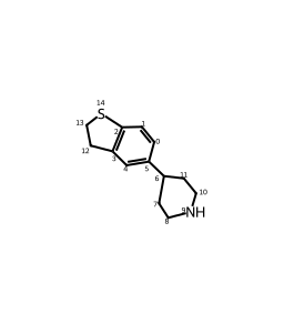 c1cc2c(cc1C1CCNCC1)CCS2